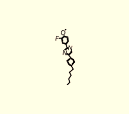 CCCCCCc1ccc(-c2cnc(-c3ccc(OC)c(F)c3)cn2)cc1